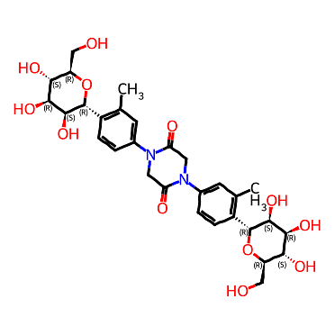 Cc1cc(N2CC(=O)N(c3ccc([C@H]4O[C@H](CO)[C@@H](O)[C@H](O)[C@@H]4O)c(C)c3)CC2=O)ccc1[C@H]1O[C@H](CO)[C@@H](O)[C@H](O)[C@@H]1O